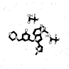 Cc1nnc2ccc3c(cc(-c4ccn(C)n4)n3Cc3cc(Cl)cc(CN4CCOCC4)c3)n12.O=C(O)C(F)(F)F.O=C(O)C(F)(F)F